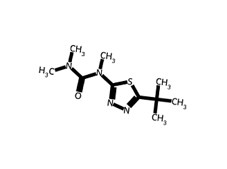 CN(C)C(=O)N(C)c1nnc(C(C)(C)C)s1